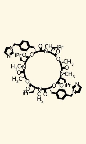 CC(C)CC1C(=O)O[C@H](Cc2ccc(Cn3ccnc3)cc2)C(=O)N(C)[C@@H](CC(C)C)C(=O)O[C@H](C)C(=O)N(C)[C@@H](CC(C)C)C(=O)O[C@H](Cc2ccc(Cn3ccnc3)cc2)C(=O)N(C)[C@@H](CC(C)C)C(=O)O[C@H](C)C(=O)N1C